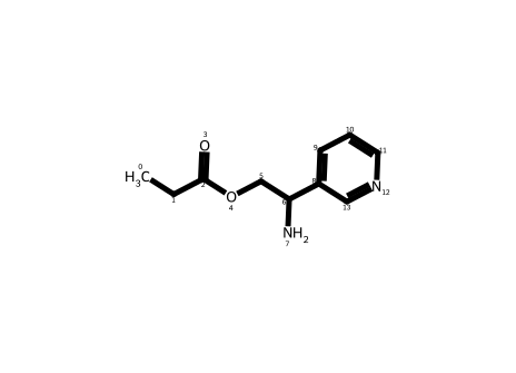 CCC(=O)OCC(N)c1cccnc1